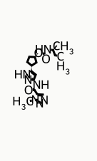 CC[C@H](C)NC(=O)O[C@H]1CC[C@@H](c2cc(NC(=O)c3cnnn3C)n[nH]2)C1